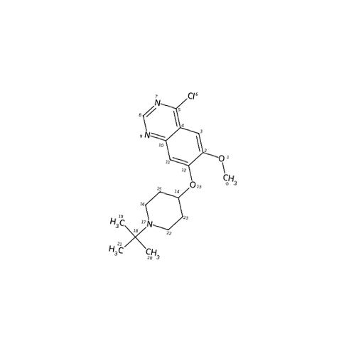 COc1cc2c(Cl)ncnc2cc1OC1CCN(C(C)(C)C)CC1